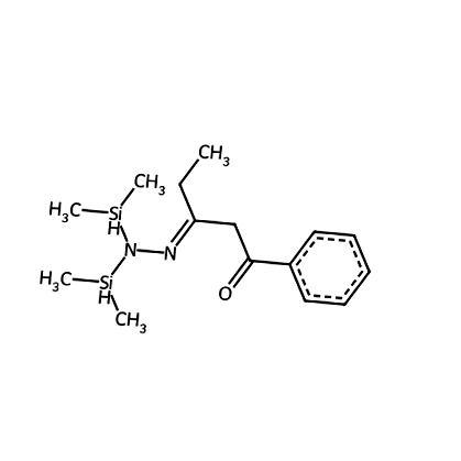 CCC(CC(=O)c1ccccc1)=NN([SiH](C)C)[SiH](C)C